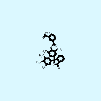 COC(=O)c1cccc(C(=O)Oc2c(C)cc(C3(c4cc(C)c(C)c(C)c4)OC(=O)c4ccccc43)cc2C)c1